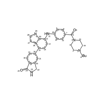 CCC(C)N1CCN(C(=O)c2ccc(Nc3ccc(-c4ccc5c(c4)CNC5=O)n4ccnc34)cc2)CC1